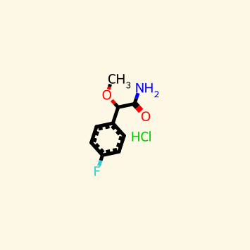 COC(C(N)=O)c1ccc(F)cc1.Cl